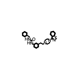 O=C(NCc1ccccc1)Nc1cccc(CCN2CCN(c3nsc4ccccc34)CC2)c1